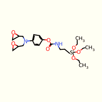 CCO[Si](CCCNC(=O)Oc1ccc(N(CC2CO2)CC2CO2)cc1)(OCC)OCC